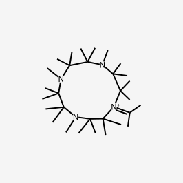 CC(C)=[N+]1C(C)(C)C(C)(C)N(C)C(C)(C)C(C)(C)N(C)C(C)(C)C(C)(C)N(C)C(C)(C)C1(C)C